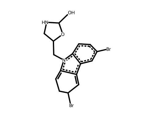 OC1NCC(Cn2c3c(c4cc(Br)ccc42)=CC(Br)CC=3)O1